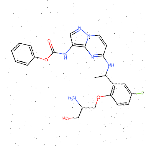 CC(Nc1ccn2ncc(NC(=O)Oc3ccccc3)c2n1)c1cc(F)ccc1OCC(N)CO